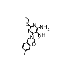 CCSc1nc(N)c(NC)c(N(C=O)Cc2ccc(C)cc2)n1